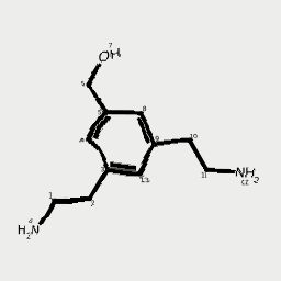 NCCc1cc(CO)cc(CCN)c1